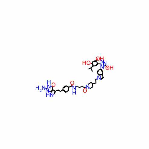 CC(C)c1cc(-c2nnc(O)n2-c2ccc3c(ccn3CCC3CCN(C(=O)CCCNC(=O)c4ccc(CCc5c[nH]c6nc(N)[nH]c(=O)c56)cc4)CC3)c2)c(O)cc1O